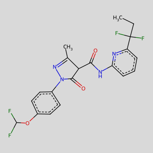 CCC(F)(F)c1cccc(NC(=O)C2C(=O)N(c3ccc(OC(F)F)cc3)N=C2C)n1